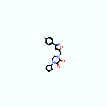 O=C1C(=O)N(C2CCCC2)CCN1Cc1cc(-c2ccc(F)cc2)no1